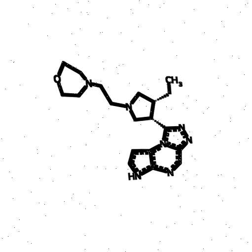 CC[C@H]1CN(CCN2CCOCC2)C[C@H]1c1nnc2cnc3[nH]ccc3n12